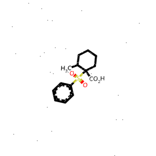 CC1CCCCC1(C(=O)O)S(=O)(=O)c1ccccc1